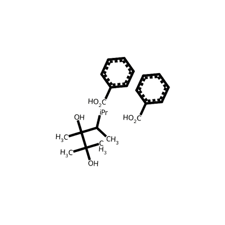 CC(C)C(C)C(C)(O)C(C)(C)O.O=C(O)c1ccccc1.O=C(O)c1ccccc1